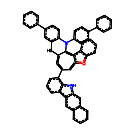 B1C2=C=C(c3cccc4c3[nH]c3cc5ccccc5cc34)C=c3oc4ccccc4c3=C2N(c2ccc(-c3ccccc3)cc2)c2ccc(-c3ccccc3)cc21